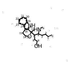 CCCCC(NC)C(CCO)C1(C)OCCc2c1[nH]c1ccccc21